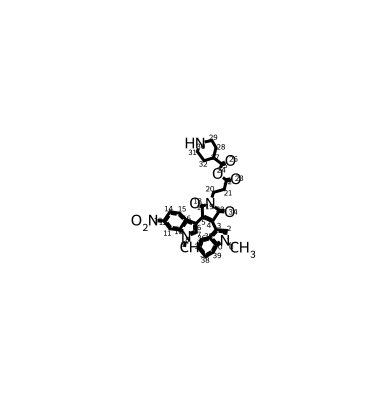 Cn1cc(C2=C(c3cn(C)c4cc([N+](=O)[O-])ccc34)C(=O)N(CCC(=O)OC(=O)C3CCNCC3)C2=O)c2ccccc21